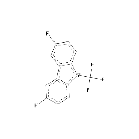 Fc1ccc2c(c1)c1cc(F)ccc1[s+]2C(F)(F)F